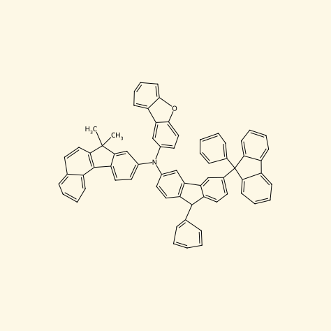 CC1(C)c2cc(N(c3ccc4c(c3)-c3cc(C5(c6ccccc6)c6ccccc6-c6ccccc65)ccc3C4c3ccccc3)c3ccc4oc5ccccc5c4c3)ccc2-c2c1ccc1ccccc21